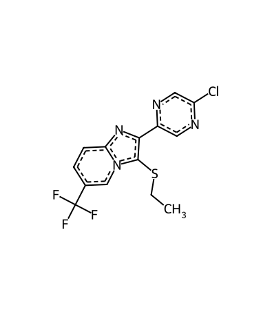 CCSc1c(-c2cnc(Cl)cn2)nc2ccc(C(F)(F)F)cn12